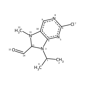 CC(C)N1c2nc(Cl)ncc2N(C)C1C=O